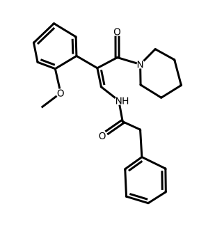 COc1ccccc1C(=CNC(=O)Cc1ccccc1)C(=O)N1CCCCC1